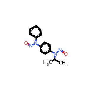 CC(C)N(N=O)c1ccc(N(N=O)c2ccccc2)cc1